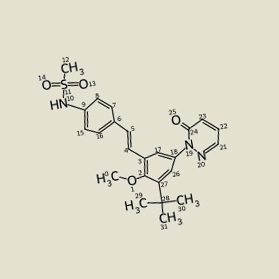 COc1c(/C=C/c2ccc(NS(C)(=O)=O)cc2)cc(-n2ncccc2=O)cc1C(C)(C)C